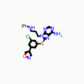 CC(C)NCCCn1c(Sc2cc(Cl)cc(-c3cnoc3)c2)nc2c(N)ncnc21